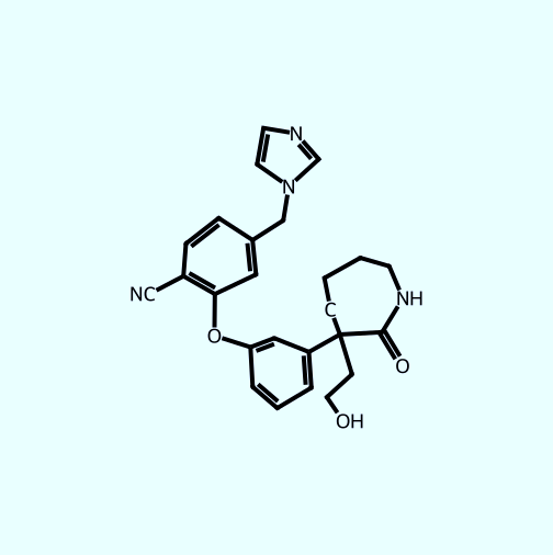 N#Cc1ccc(Cn2ccnc2)cc1Oc1cccc(C2(CCO)CCCCNC2=O)c1